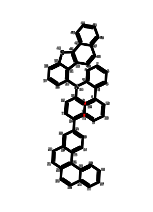 c1ccc(-c2ccccc2N(c2ccc(-c3ccc4c(ccc5ccc6ccccc6c54)c3)cc2)c2cccc3sc4c5ccccc5ccc4c23)cc1